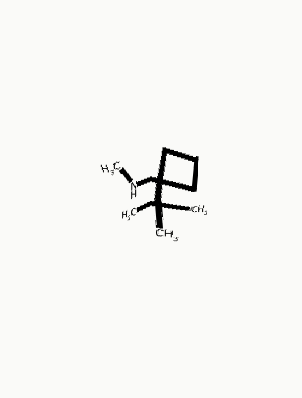 CNC1(C(C)(C)C)CCC1